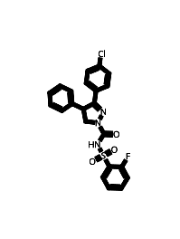 O=C(NS(=O)(=O)c1ccccc1F)N1CC(c2ccccc2)C(c2ccc(Cl)cc2)=N1